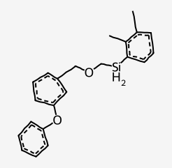 Cc1cccc([SiH2]COCc2cccc(Oc3ccccc3)c2)c1C